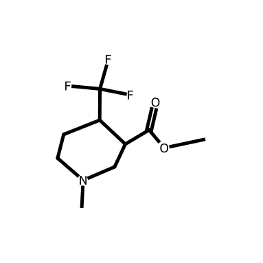 COC(=O)C1CN(C)CCC1C(F)(F)F